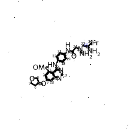 COc1cc(O[C@@H]2CCOC2)cc2ncnc(Nc3ccc(NC(=O)CN(N)/C=C(\N)C(C)C)cc3)c12